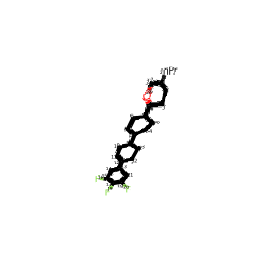 CCCC1CCC(C2CCC(C3CC=C(c4cc(F)c(F)c(F)c4)CC3)CC2)OC1